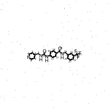 O=C(NCc1ccncc1)Nc1ccc(C(=O)NCc2cccc(C(F)(F)F)c2)cc1